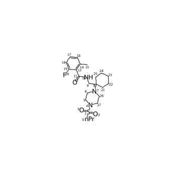 CCCS(=O)(=O)N1CCN(C2(CNC(=O)c3c(C)cccc3F)CCCCC2)CC1